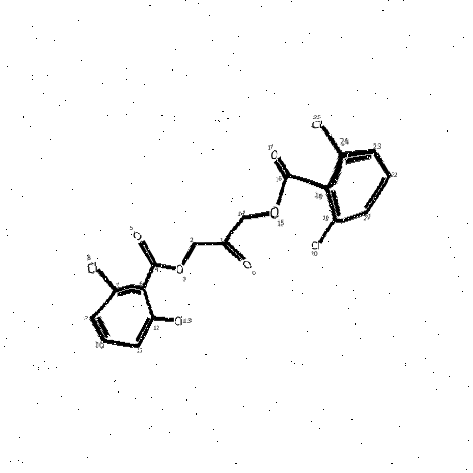 O=C(COC(=O)c1c(Cl)cccc1Cl)COC(=O)c1c(Cl)cccc1Cl